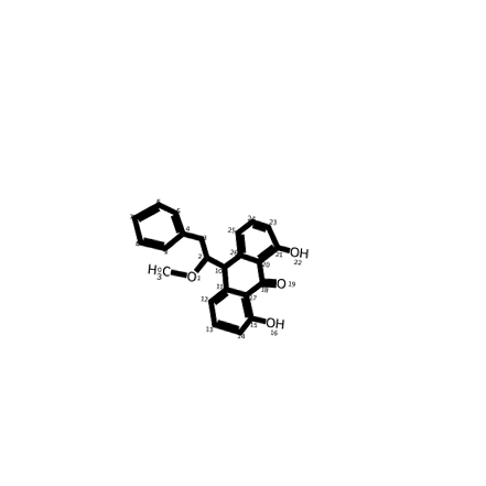 COC(Cc1ccccc1)C1c2cccc(O)c2C(=O)c2c(O)cccc21